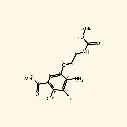 COC(=O)c1cc(OCCNC(=O)OC(C)(C)C)c(N)c(I)c1Cl